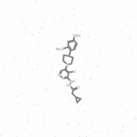 COc1ccc(C2CCN(c3cnnc(NNC(=O)CC4CC4)c3Cl)CC2)c(OC)c1